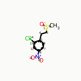 C[S+]([O-])C[C]c1ccc([N+](=O)[O-])cc1Cl